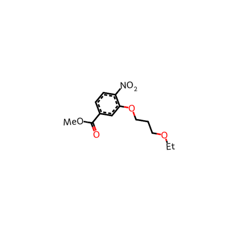 CCOCCCOc1cc(C(=O)OC)ccc1[N+](=O)[O-]